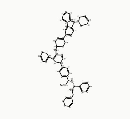 CNC(N[C@@H](NCC1=CCCC=C1)c1ccccc1)c1ccc(C2C=CC(NC3CC=C(c4ccc5c(c4)c4ccccc4n5C4CC=CCC4)CC3)=C(C3=CC=CCC3)C2)cc1